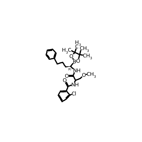 COCC(NC(=O)c1ccccc1Cl)C(=O)N[C@@H](CCCc1ccccc1)B1OC(C)(C)C(C)(C)O1